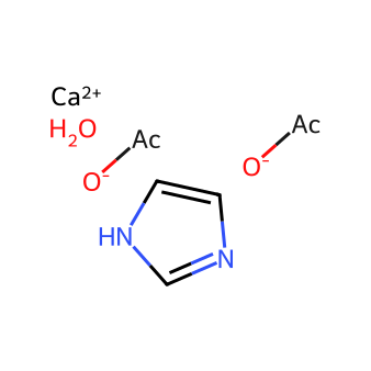 CC(=O)[O-].CC(=O)[O-].O.[Ca+2].c1c[nH]cn1